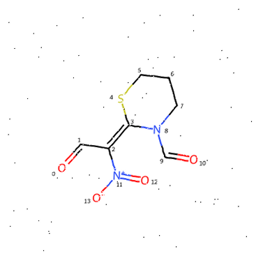 O=CC(=C1SCCCN1C=O)[N+](=O)[O-]